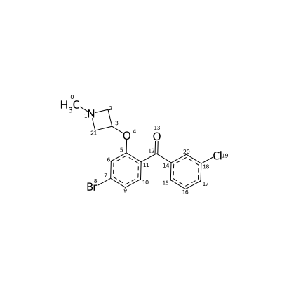 CN1CC(Oc2cc(Br)ccc2C(=O)c2cccc(Cl)c2)C1